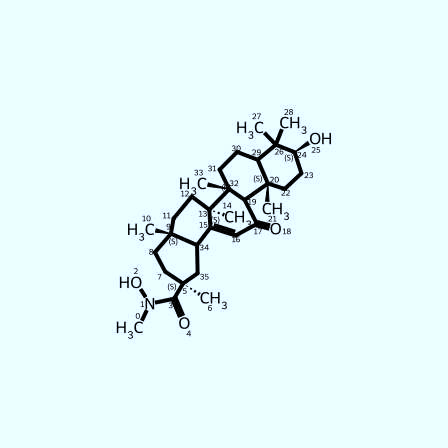 CN(O)C(=O)[C@@]1(C)CC[C@]2(C)CC[C@]3(C)C(=CC(=O)C4[C@@]5(C)CC[C@H](O)C(C)(C)C5CC[C@]43C)C2C1